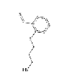 S=Cc1ccccc1SCCCS